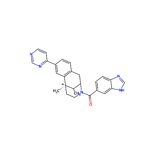 CC1C2Cc3ccc(-c4ccncn4)cc3[C@]1(C)CCN2C(=O)c1ccc2nc[nH]c2c1